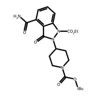 CCOC(=O)n1c2cccc(C(N)=O)c2c(=O)n1C1CCN(C(=O)OC(C)(C)C)CC1